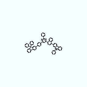 c1ccc(-c2nc(-c3ccc(-c4ccc5c(c4)C(c4ccccc4)(c4ccccc4)c4ccccc4-5)cc3)cc(-c3ccc(-c4ccc5c6ccccc6n(-c6ccccc6)c5c4)c4ccccc34)n2)cc1